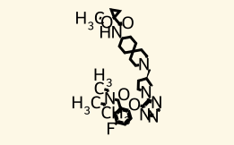 CCN(C(=O)c1cc(F)ccc1Oc1nncnc1N1CC[C@@H](CN2CCC3(CCC(NC(=O)C4(OC)CC4)CC3)CC2)C1)C(C)C